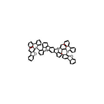 Cc1ccc2c(oc3ccccc32)c1N(c1ccccc1-c1ccccc1)c1cccc2c1c1cccc3c4cc5c(cc4n2c31)c1cccc2c3c(N(c4ccccc4-c4ccccc4)c4c(C)ccc6c4oc4ccccc46)cccc3n5c12